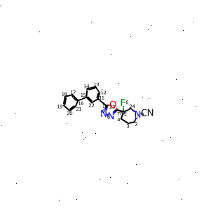 N#CN1CCC[C@](F)(c2nnc(-c3cccc(-c4ccccc4)c3)o2)C1